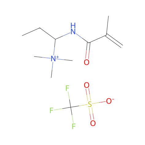 C=C(C)C(=O)NC(CC)[N+](C)(C)C.O=S(=O)([O-])C(F)(F)F